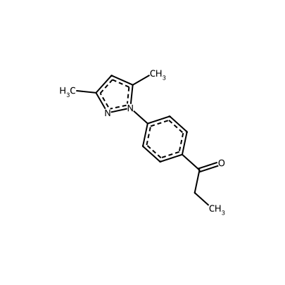 CCC(=O)c1ccc(-n2nc(C)cc2C)cc1